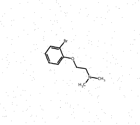 CN(C)CCOc1cc[c]cc1Br